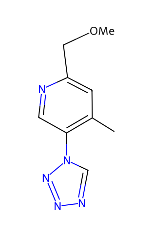 COCc1cc(C)c(-n2cnnn2)cn1